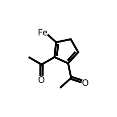 CC(=O)C1=CC[C]([Fe])=C1C(C)=O